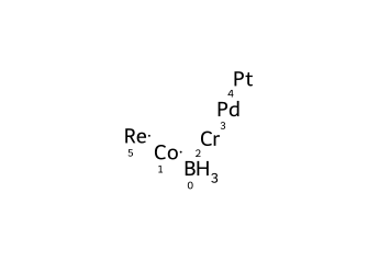 B.[Co].[Cr].[Pd].[Pt].[Re]